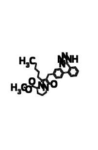 CCCCCc1c(Cc2ccc(-c3ccccc3-c3nnn[nH]3)cc2)c(=O)n2n1C(C(=O)OC)CCC2